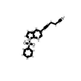 N#CCCC#Cc1cnc2c(ccn2S(=O)(=O)c2ccccc2)c1